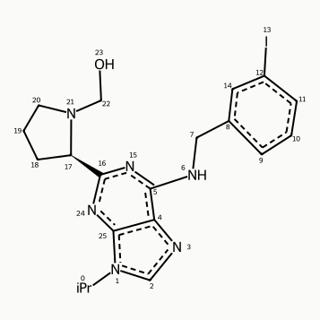 CC(C)n1cnc2c(NCc3cccc(I)c3)nc([C@H]3CCCN3CO)nc21